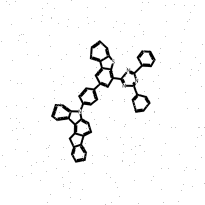 c1ccc(-c2nc(-c3ccccc3)nc(-c3cc(-c4ccc(-n5c6ccccc6c6c7c(ccc65)-c5ccccc5C7)cc4)cc4c3sc3ccccc34)n2)cc1